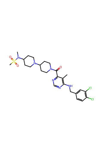 Cc1c(NCc2ccc(Cl)c(Cl)c2)ncnc1C(=O)N1CCC(N2CCC(N(C)S(C)(=O)=O)CC2)CC1